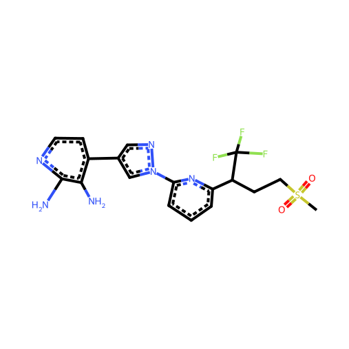 CS(=O)(=O)CCC(c1cccc(-n2cc(-c3ccnc(N)c3N)cn2)n1)C(F)(F)F